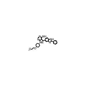 COCCO[C@H]1CC[C@H](n2nc(-c3ccc4[nH]c(-c5ccccc5)nc4c3)c3c(N)ncnc32)CC1